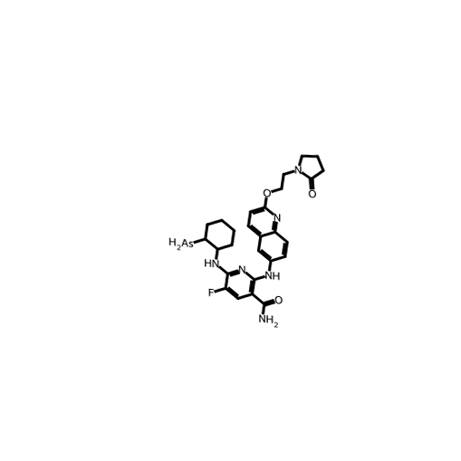 NC(=O)c1cc(F)c(NC2CCCCC2[AsH2])nc1Nc1ccc2nc(OCCN3CCCC3=O)ccc2c1